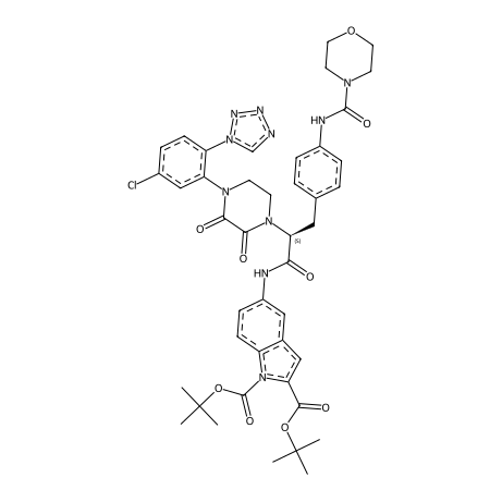 CC(C)(C)OC(=O)c1cc2cc(NC(=O)[C@H](Cc3ccc(NC(=O)N4CCOCC4)cc3)N3CCN(c4cc(Cl)ccc4-n4cnnn4)C(=O)C3=O)ccc2n1C(=O)OC(C)(C)C